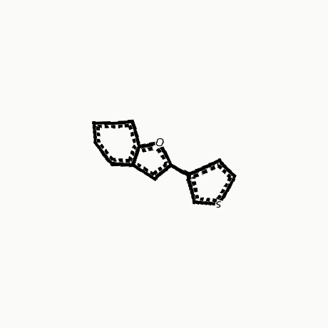 c1ccc2oc(-c3ccsc3)cc2c1